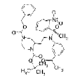 C=S(=O)(c1ccccc1[N+](=O)[O-])N(CC[C@@H]1CN(C(=O)OCc2ccccc2)CCN1C(=O)OC(C)(C)C)c1cccc(C(C)=O)c1